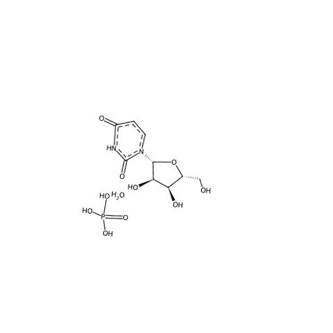 O.O=P(O)(O)O.O=c1ccn([C@@H]2O[C@H](CO)[C@@H](O)[C@H]2O)c(=O)[nH]1